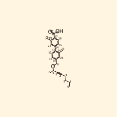 CCCCC#CC(C)OCc1ccc(-c2ccc(C(=O)O)c(F)c2)c(C)c1